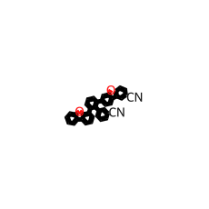 N#Cc1cccc(-c2c(-c3ccc4c(c3)oc3ccc(C#N)cc34)cccc2-c2cccc3c2oc2ccccc23)c1